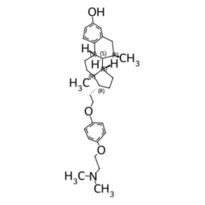 C[C@@H]1Cc2cc(O)ccc2[C@H]2CC[C@]3(C)[C@@H](CCOc4ccc(OCCN(C)C)cc4)CC[C@H]3[C@H]12